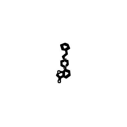 O=C1COc2c1cccc2N1CCN(CCc2ccccc2)CC1